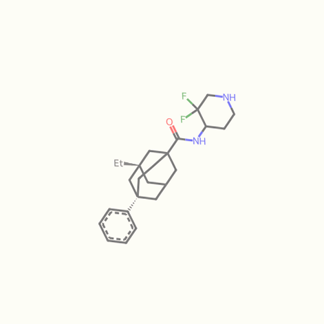 CC[C@]12CC3CC(C(=O)NC4CCNCC4(F)F)(C1)C[C@@](c1ccccc1)(C3)C2